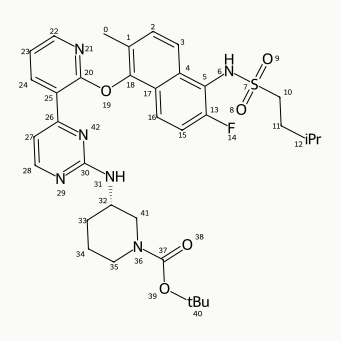 Cc1ccc2c(NS(=O)(=O)CCC(C)C)c(F)ccc2c1Oc1ncccc1-c1ccnc(N[C@H]2CCCN(C(=O)OC(C)(C)C)C2)n1